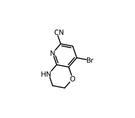 N#Cc1cc(Br)c2c(n1)NCCO2